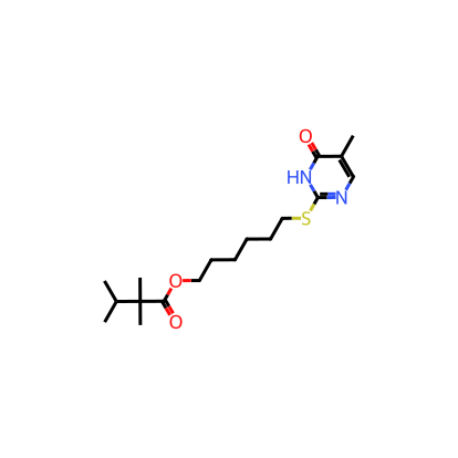 Cc1cnc(SCCCCCCOC(=O)C(C)(C)C(C)C)[nH]c1=O